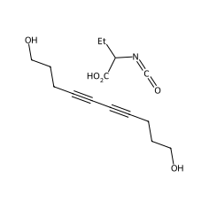 CCC(N=C=O)C(=O)O.OCCCC#CC#CCCCO